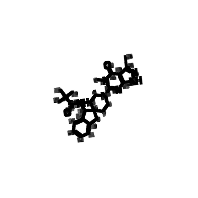 Cn1c(N2CCC3(CC2)Cc2ccccc2[C@H]3N[S@+]([O-])C(C)(C)C)nc2[nH]nc(I)c2c1=O